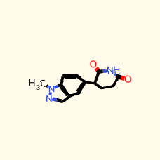 Cn1ncc2cc(C3CCC(=O)NC3=O)ccc21